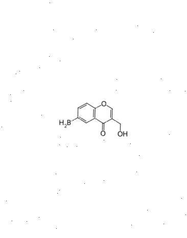 Bc1ccc2occ(CO)c(=O)c2c1